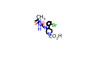 Cc1csc(NC(=O)Cn2c3c(c4c(Br)cccc42)CCN(C(=O)O)CC3)n1